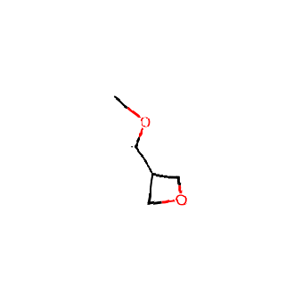 CO[CH]C1COC1